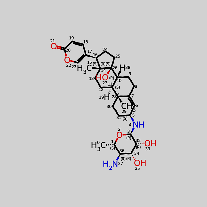 C[C@@H]1O[C@@H](N[C@@H]2C=C3CC[C@@H]4[C@H](CC[C@]5(C)[C@@H](c6ccc(=O)oc6)CC[C@]45O)[C@@]3(C)CC2)[C@H](O)[C@H](O)[C@H]1N